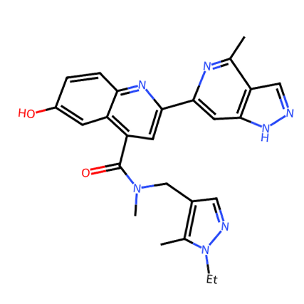 CCn1ncc(CN(C)C(=O)c2cc(-c3cc4[nH]ncc4c(C)n3)nc3ccc(O)cc23)c1C